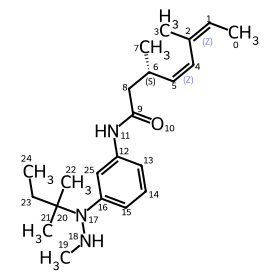 C/C=C(C)\C=C/[C@@H](C)CC(=O)Nc1cccc(N(NC)C(C)(C)CC)c1